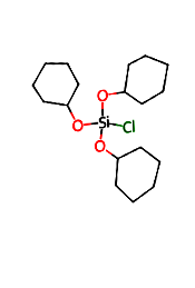 Cl[Si](OC1CCCCC1)(OC1CCCCC1)OC1CCCCC1